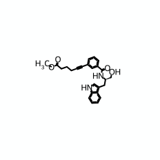 COC(=O)CCCC#Cc1cccc(C(=O)N[C@@H](CO)Cc2c[nH]c3ccccc23)c1